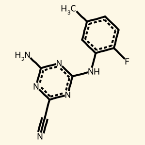 Cc1ccc(F)c(Nc2nc(N)nc(C#N)n2)c1